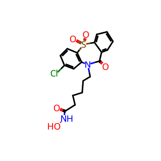 O=C(CCCCCN1C(=O)c2ccccc2S(=O)(=O)c2ccc(Cl)cc21)NO